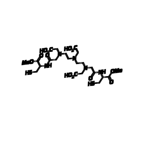 COC(=O)C(CS)NC(=O)CN(CCN(CCN(CC(=O)O)CC(=O)NC(CS)C(=O)OC)CC(=O)O)CC(=O)O